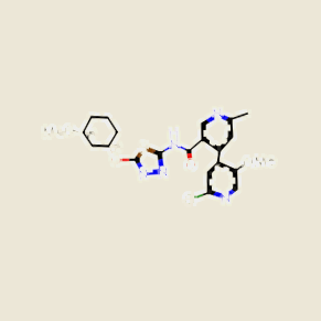 COc1cnc(Cl)cc1-c1cc(C)ncc1C(=O)Nc1nnc(O[C@H]2CCC[C@@H](OC)C2)s1